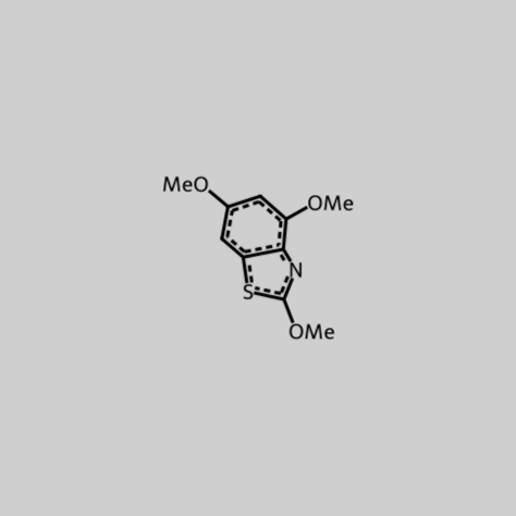 COc1cc(OC)c2nc(OC)sc2c1